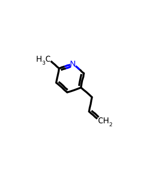 C=CCc1ccc(C)nc1